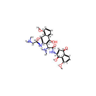 COc1cccc2c1C(=O)C(NC(=O)C(c1c(O)c3cccc(OC)c3c3oc(CN(C)C)nc13)N(C)C)=CC2=O